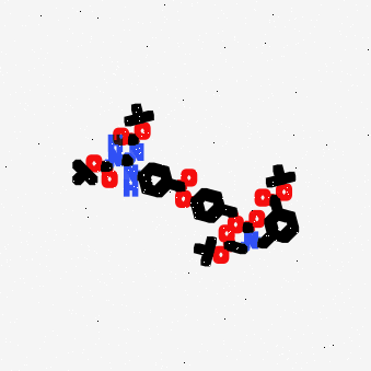 CC(C)(C)OC(=O)CN(Cc1cccc(C(=O)OC(C)(C)C)c1)C(=O)OCc1ccc(OC(=O)c2ccc(NC(=NC(=O)OC(C)(C)C)NC(=O)OC(C)(C)C)cc2)cc1